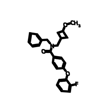 COC1CC(CN(Cc2ccccc2)C(=O)c2ccc(Oc3ccccc3F)cc2)C1